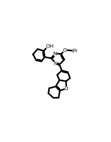 CC(C)Oc1cc(C2=CCC3OC4=C(CCCC4)C3C2)nc(C2=C(O)CCC=C2)n1